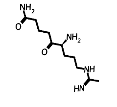 CC(=N)NCCC[C@H](N)C(=O)CCCC(N)=O